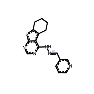 C(=N\Nc1ncnc2sc3c(c12)CCCC3)/c1cccnc1